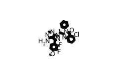 COc1ccc(-c2nn([C@@H](C)c3nc4c(c(=O)n3-c3ccccc3)=C(Cl)CCC=4)c3ncnc(N)c23)c(F)c1F